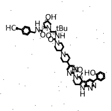 C#Cc1ccc(CNC(=O)[C@@H]2C[C@@H](O)CN2C(=O)[C@@H](NC(=O)N2CCC(N3CCC(c4cnc(N5CCc6[nH]c7nnc(-c8ccccc8O)cc7c6[C@@H]5CO)nc4)CC3)CC2)C(C)(C)C)cc1